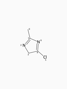 CC1=NCC(Cl)=N1